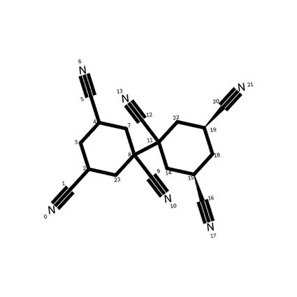 N#CC1CC(C#N)CC(C#N)(C2(C#N)C[C@H](C#N)C[C@H](C#N)C2)C1